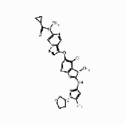 CN(C(=O)C1CC1)c1cn2ncc(Oc3cnc4nc(Nc5cc(C(F)(F)F)n([C@@H]6CCOC6)n5)n(C)c4c3Cl)c2cn1